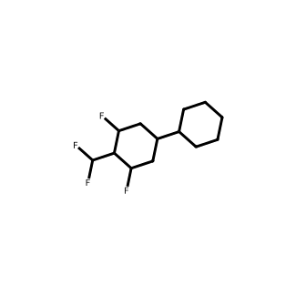 FC(F)C1C(F)CC(C2CCCCC2)CC1F